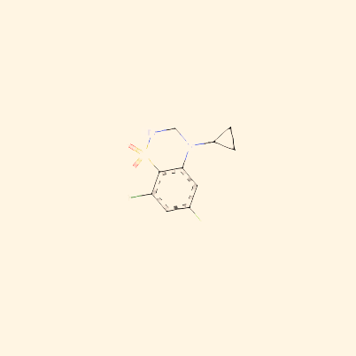 O=S1(=O)NCN(C2CC2)c2cc(F)cc(Cl)c21